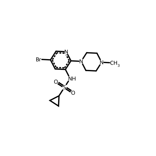 CN1CCN(c2ncc(Br)cc2NS(=O)(=O)C2CC2)CC1